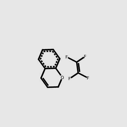 C1=Cc2ccccc2OC1.FC(F)=C(F)F